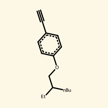 C#Cc1ccc(OCC(CC)CCCC)cc1